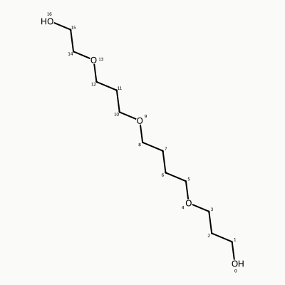 OCCCOCCCCOCCCOCCO